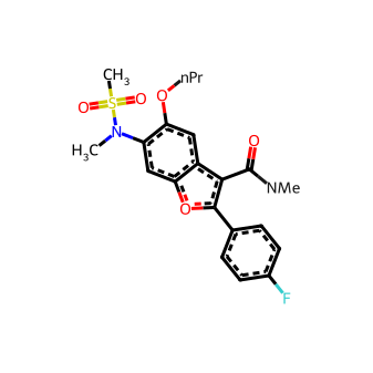 CCCOc1cc2c(C(=O)NC)c(-c3ccc(F)cc3)oc2cc1N(C)S(C)(=O)=O